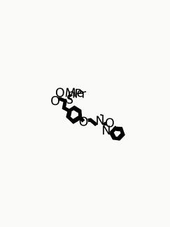 CCCSC(Cc1ccc(OCCN(C)c2nc3ccccc3o2)cc1)C(=O)OC